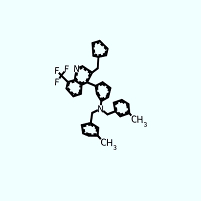 Cc1cccc(CN(Cc2cccc(C)c2)c2cccc(-c3c(Cc4ccccc4)cnc4c(C(F)(F)F)cccc34)c2)c1